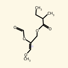 CCC(C)C(=O)OC/C(=C/OC)OC=O